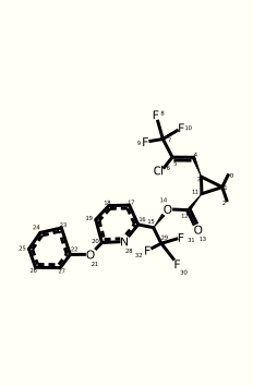 CC1(C)[C@H](C=C(Cl)C(F)(F)F)[C@@H]1C(=O)O[C@H](c1cccc(Oc2ccccc2)n1)C(F)(F)F